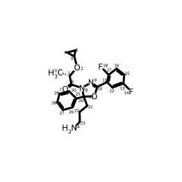 C[C@H](OC1CC1)C(=O)N1N=C(c2cc(F)ccc2F)OC1(CCCN)c1ccccc1